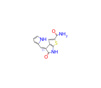 NC(=O)c1cc2c(s1)NC(=O)/C2=C/c1ccc[nH]1